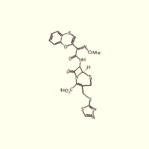 CO/N=C(\C(=O)NC1C(=O)N2C(C(=O)O)=C(CSc3nncs3)CS[C@H]12)C1=CSc2ccccc2O1